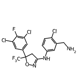 NCc1cc(NC2=NOC(c3cc(Cl)c(F)c(Cl)c3)(C(F)(F)F)C2)ccc1Cl